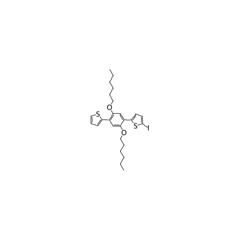 CCCCCCOc1cc(-c2ccc(I)s2)c(OCCCCCC)cc1-c1cccs1